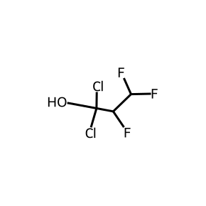 OC(Cl)(Cl)C(F)C(F)F